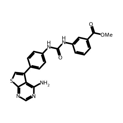 COC(=O)c1cccc(NC(=O)Nc2ccc(-c3csc4ncnc(N)c34)cc2)c1